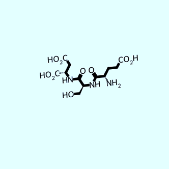 N[C@@H](CCC(=O)O)C(=O)N[C@@H](CO)C(=O)N[C@@H](CC(=O)O)C(=O)O